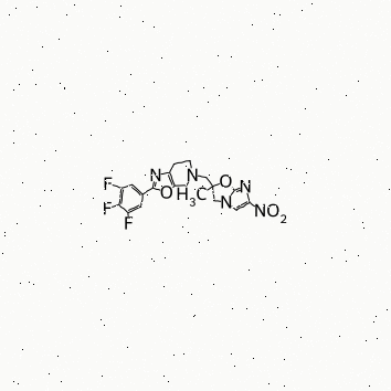 CC1(CN2CCc3nc(-c4cc(F)c(F)c(F)c4)oc3C2)Cn2cc([N+](=O)[O-])nc2O1